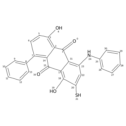 O=C1c2c(O)ccc(-c3ccccc3)c2C(=O)c2c(O)c(S)cc(Nc3ccccc3)c21